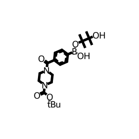 CC(C)(C)OC(=O)N1CCN(C(=O)c2ccc(B(O)OC(C)(C)C(C)(C)O)cc2)CC1